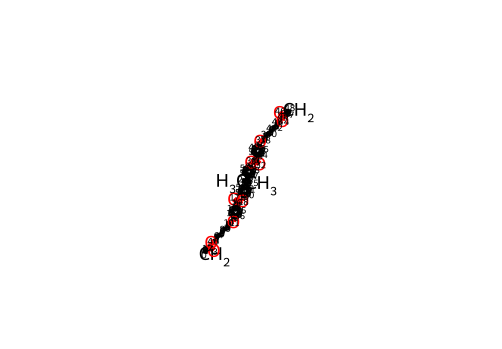 C=CC(=O)OCCCCCCOc1ccc(C(=O)Oc2ccc(C(C)(C)c3ccc(OC(=O)c4ccc(OCCCCCCOC(=O)C=C)cc4)cc3)cc2)cc1